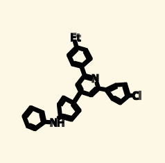 CCc1ccc(-c2cc(-c3ccc(Nc4ccccc4)cc3)cc(-c3ccc(Cl)cc3)n2)cc1